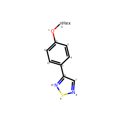 CCCCCCOc1ccc(-c2cnsn2)cc1